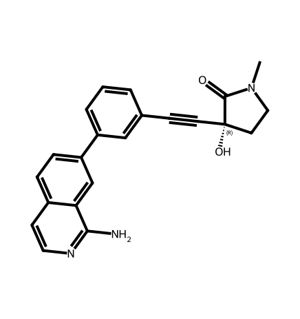 CN1CC[C@@](O)(C#Cc2cccc(-c3ccc4ccnc(N)c4c3)c2)C1=O